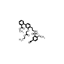 CCOC(=O)COc1cc(-c2ccccc2C(=O)OC)ccc1CCNS(=O)(=O)c1cc(C#N)ccc1OC